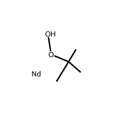 CC(C)(C)OO.[Nd]